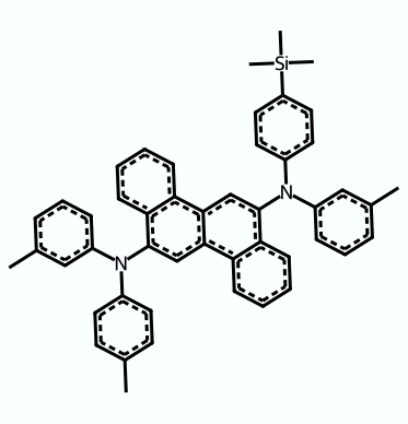 Cc1ccc(N(c2cccc(C)c2)c2cc3c4ccccc4c(N(c4ccc([Si](C)(C)C)cc4)c4cccc(C)c4)cc3c3ccccc23)cc1